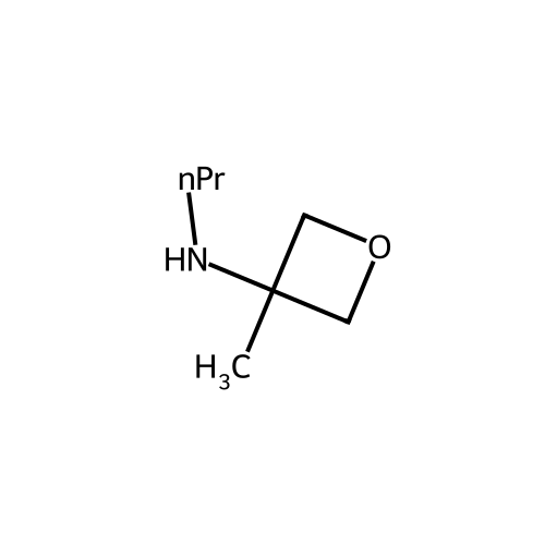 CCCNC1(C)COC1